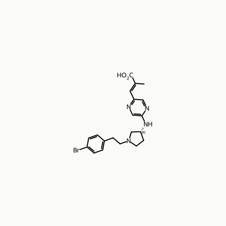 CC(=Cc1cnc(N[C@@H]2CCN(CCc3ccc(Br)cc3)C2)cn1)C(=O)O